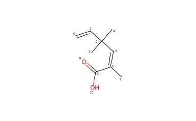 C=CC(C)(C)C=C(C)C(=O)O